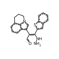 NN/C(=C(\C=O)c1cn2c3c(cccc13)CCC2)c1cc2ccccc2s1